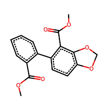 COC(=O)c1ccccc1-c1ccc2c(c1C(=O)OC)OCO2